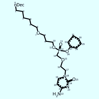 CCCCCCCCCCCCCCCCOCCCOP(=O)(COCCn1ccc(N)nc1=O)Oc1ccccc1